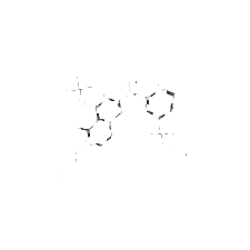 CC(C)(C)Nc1nc(Nc2cc(C(C)(C)CO)ccn2)cc2ccn(CCO)c(=O)c12